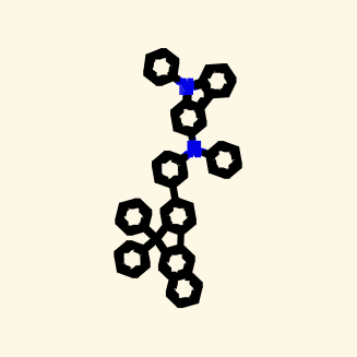 c1ccc(N(c2cccc(-c3ccc4c(c3)C(c3ccccc3)(c3ccccc3)c3cc5ccccc5cc3-4)c2)c2ccc3c(c2)c2ccccc2n3-c2ccccc2)cc1